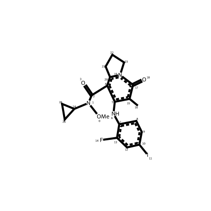 CON(C(=O)c1c(Nc2ccc(I)cc2F)c(C)c(=O)n2c1CCC2)C1CC1